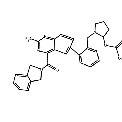 Nc1nc(C(=O)N2Cc3ccccc3C2)c2cc(-c3ccccc3CN3CCCC3OC(=O)O)ccc2n1